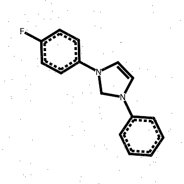 Fc1ccc(N2C=CN(c3ccccc3)C2)cc1